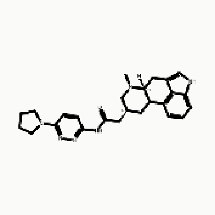 CN1C[C@H](CC(=O)Nc2ccc(N3CCCC3)nn2)CC2c3cccc4[nH]cc(c34)C[C@H]21